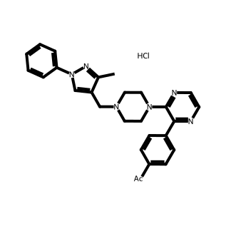 CC(=O)c1ccc(-c2nccnc2N2CCN(Cc3cn(-c4ccccc4)nc3C)CC2)cc1.Cl